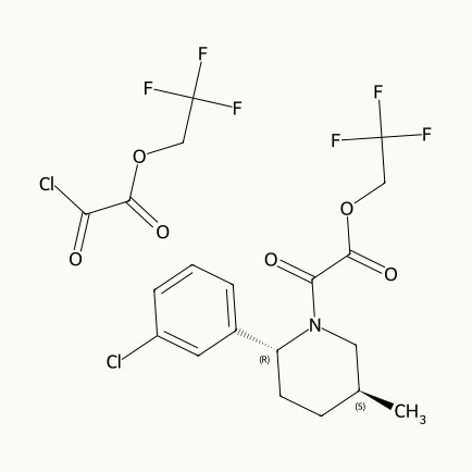 C[C@H]1CC[C@H](c2cccc(Cl)c2)N(C(=O)C(=O)OCC(F)(F)F)C1.O=C(Cl)C(=O)OCC(F)(F)F